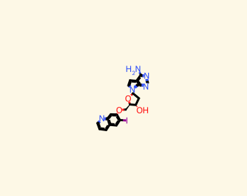 Nc1ncnc2c1ccn2[C@H]1C[C@H](O)[C@@H](COc2cc3ncccc3cc2I)O1